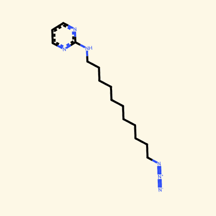 [N-]=[N+]=NCCCCCCCCCCCNc1ncccn1